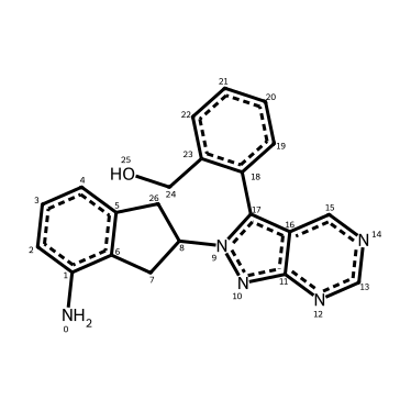 Nc1cccc2c1CC(n1nc3ncncc3c1-c1ccccc1CO)C2